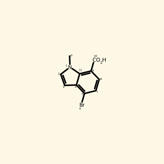 Cn1ccc2c(Br)ccc(C(=O)O)c21